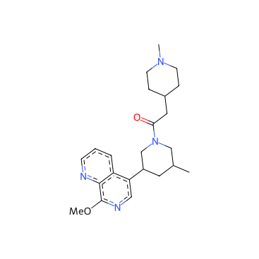 COc1ncc(C2CC(C)CN(C(=O)CC3CCN(C)CC3)C2)c2cccnc12